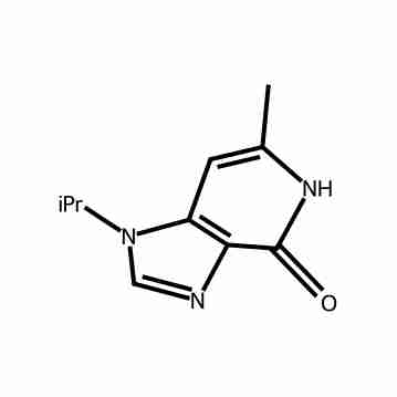 Cc1cc2c(ncn2C(C)C)c(=O)[nH]1